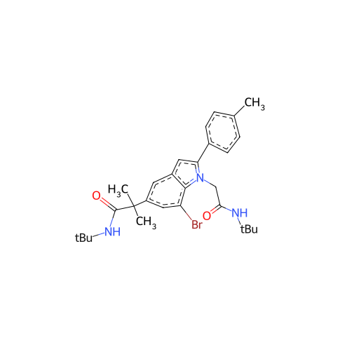 Cc1ccc(-c2cc3cc(C(C)(C)C(=O)NC(C)(C)C)cc(Br)c3n2CC(=O)NC(C)(C)C)cc1